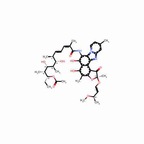 CC[C@@H](OC(C)=O)[C@H](C)[C@H](O)[C@H](C)[C@@H](O)[C@@H](C)/C=C/C=C(/C)C(=O)Nc1c(O)c2c(O)c(C)c3c(c2c2nc4cc(C)ccn4c12)C(=O)[C@@](C)(O/C=C/[C@@H](C)OC)O3